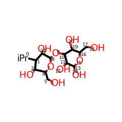 CC(C)C1C(O)C(CO)OC(OC2C(O)C(O)OC(CO)C2O)C1O